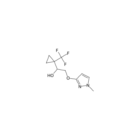 Cn1ccc(OCC(O)C2(C(F)(F)F)CC2)n1